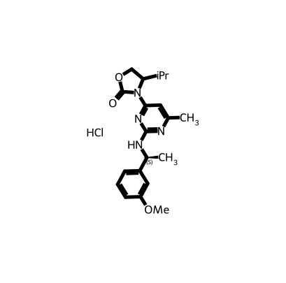 COc1cccc([C@H](C)Nc2nc(C)cc(N3C(=O)OCC3C(C)C)n2)c1.Cl